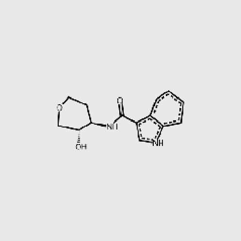 O=C(N[C@@H]1CCOC[C@H]1O)c1c[nH]c2ccccc12